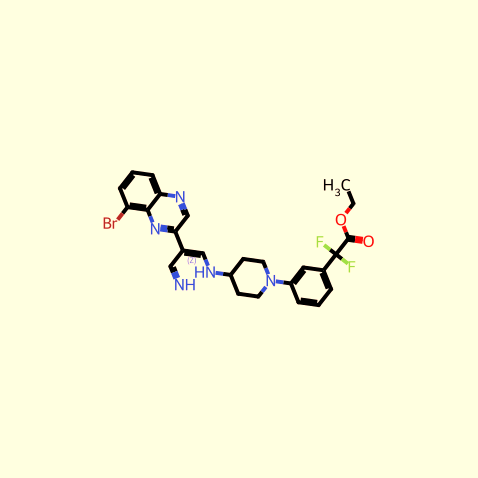 CCOC(=O)C(F)(F)c1cccc(N2CCC(N/C=C(\C=N)c3cnc4cccc(Br)c4n3)CC2)c1